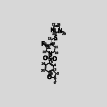 CC1Cc2cc(S(=O)(=O)N3CC[C@@H](CSc4nccn4C)[C@H](F)C3)ccc2O1